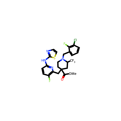 COC(=O)C1(Cc2nc(Nc3nccs3)ccc2F)CCN(Cc2cccc(Cl)c2F)C(C(F)(F)F)C1